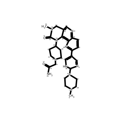 CN1CCN(C2N=CC(c3ccc4ncc5c(c4n3)N(C3CCN(CC(N)=O)CC3)C(=O)N(C)C5)=CN2)CC1